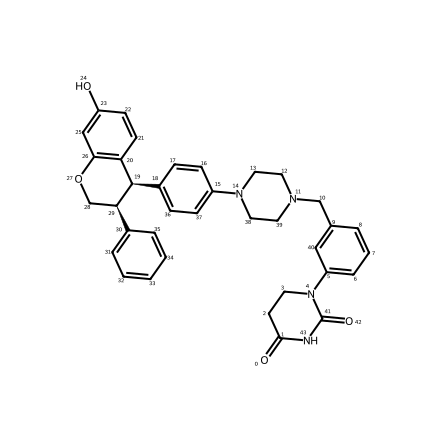 O=C1CCN(c2cccc(CN3CCN(c4ccc([C@@H]5c6ccc(O)cc6OC[C@@H]5c5ccccc5)cc4)CC3)c2)C(=O)N1